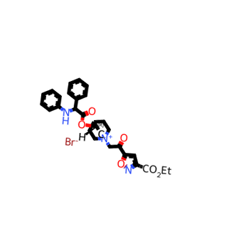 CCOC(=O)c1cc(C(=O)C[N+]23CCC(CC2)[C@@H](OC(=O)C(Nc2ccccc2)c2ccccc2)C3)on1.[Br-]